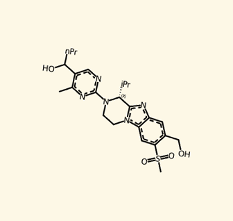 CCCC(O)c1cnc(N2CCn3c(nc4cc(CO)c(S(C)(=O)=O)cc43)[C@H]2C(C)C)nc1C